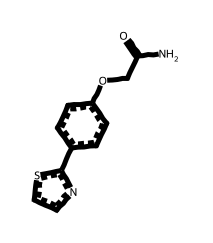 NC(=O)COc1ccc(-c2nccs2)cc1